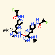 COc1ncnc(NCOc2ncnc(NC3CC3)c2-c2cc3cc(NC(=O)C4CC4F)ncc3n2C)c1-c1cc2cc(NC(=O)C3CC3F)ncc2n1C